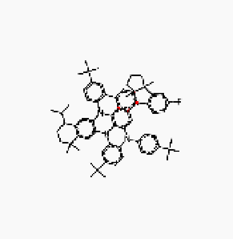 CC(C)C1CCC(C)(C)c2cc3c(cc21)N(c1ccc(C(C)(C)C)cc1-c1ccccc1)c1cc(N2c4ccc(F)cc4C4(C)CCCC24C)cc2c1B3c1cc(C(C)(C)C)ccc1N2c1ccc(C(C)(C)C)cc1